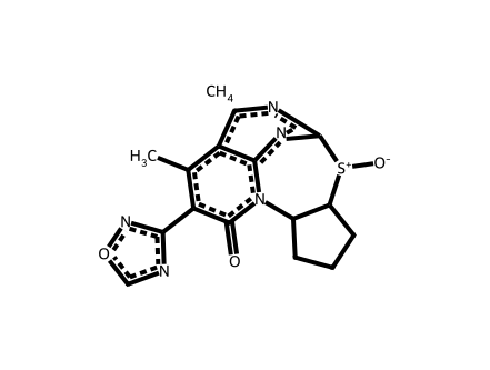 C.Cc1c(-c2ncon2)c(=O)n2c3nc(ncc13)[S+]([O-])C1CCCC12